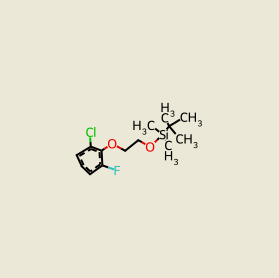 CC(C)(C)[Si](C)(C)OCCOc1c(F)cccc1Cl